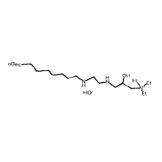 CCCCCCCCCCCCCCCCCNCCNCC(O)C[N+](CC)(CC)CC.[OH-]